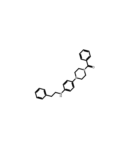 O=C(c1ccccc1)N1CCN(c2ccc(NCCc3ccccc3)cc2)CC1